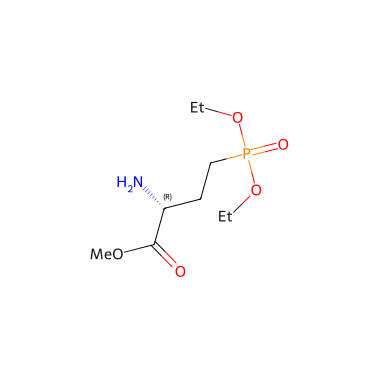 CCOP(=O)(CC[C@@H](N)C(=O)OC)OCC